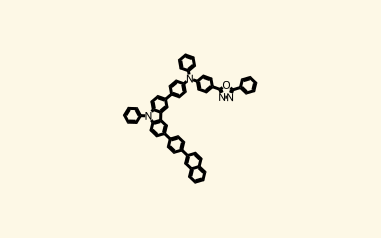 c1ccc(-c2nnc(-c3ccc(N(c4ccccc4)c4ccc(-c5ccc6c(c5)c5cc(-c7ccc(-c8ccc9ccccc9c8)cc7)ccc5n6-c5ccccc5)cc4)cc3)o2)cc1